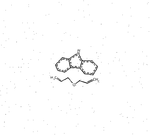 C=CCOCC=C.c1ccc2c(c1)[nH]c1ccccc12